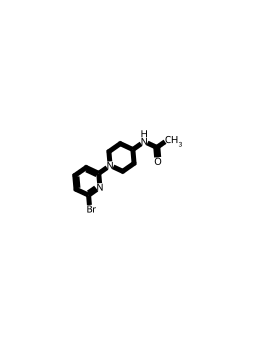 CC(=O)NC1CCN(c2cccc(Br)n2)CC1